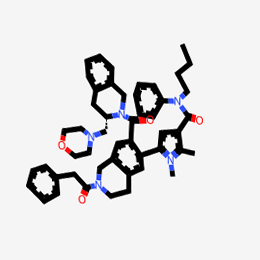 CCCCN(C(=O)c1cc(-c2cc3c(cc2C(=O)N2Cc4ccccc4C[C@H]2CN2CCOCC2)CN(C(=O)Cc2ccccc2)CC3)n(C)c1C)c1ccccc1